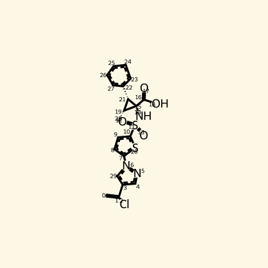 C=C(Cl)c1cnn(-c2ccc(S(=O)(=O)N[C@@]3(C(=O)O)[C@H](C)[C@@H]3c3ccccc3)s2)c1